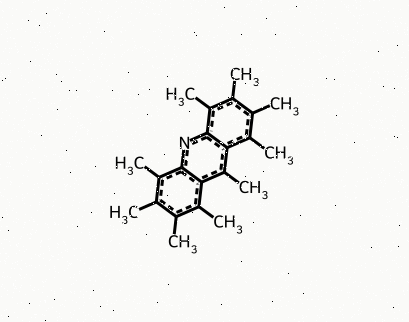 Cc1c(C)c(C)c2c(C)c3c(C)c(C)c(C)c(C)c3nc2c1C